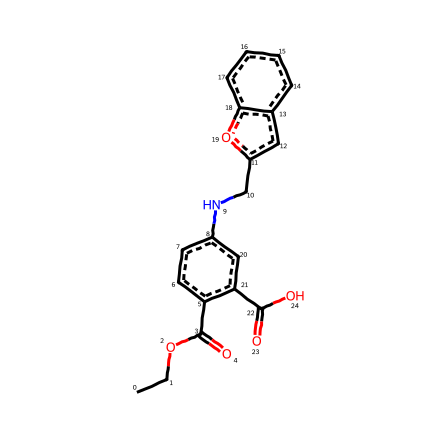 CCOC(=O)c1ccc(NCc2cc3ccccc3o2)cc1C(=O)O